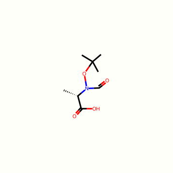 C[C@@H](C(=O)O)N(C=O)OC(C)(C)C